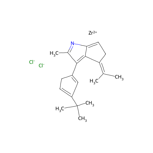 CC1=NC2=CCC(=C(C)C)C2=C1C1=CC(C(C)(C)C)=CC1.[Cl-].[Cl-].[Zr+2]